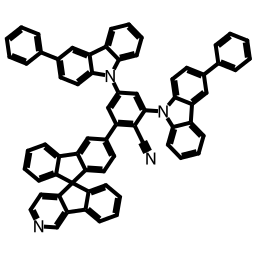 N#Cc1c(-c2ccc3c(c2)-c2ccccc2C32c3ccccc3-c3cnccc32)cc(-n2c3ccccc3c3cc(-c4ccccc4)ccc32)cc1-n1c2ccccc2c2cc(-c3ccccc3)ccc21